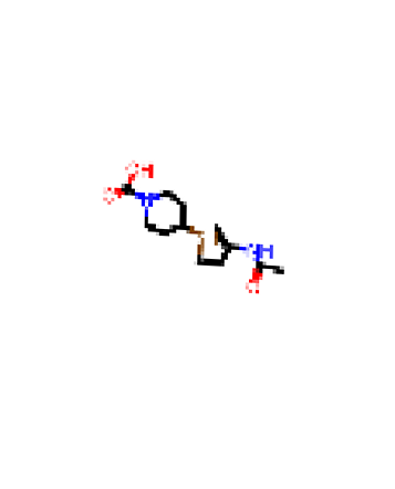 CC(=O)NC1=C[SH](C2CCN(C(=O)O)CC2)C=C1